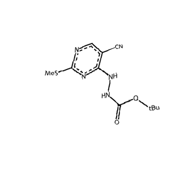 CSc1ncc(C#N)c(NNC(=O)OC(C)(C)C)n1